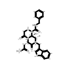 C[C@H]1[C@@H]2N(C(=O)NCc3ccccc3)OCC(=O)N2[C@@H](CC(N)=O)C(=O)N1Cc1csc2ccccc12